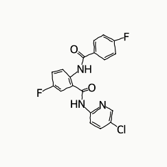 O=C(Nc1ccc(F)cc1C(=O)Nc1ccc(Cl)cn1)c1ccc(F)cc1